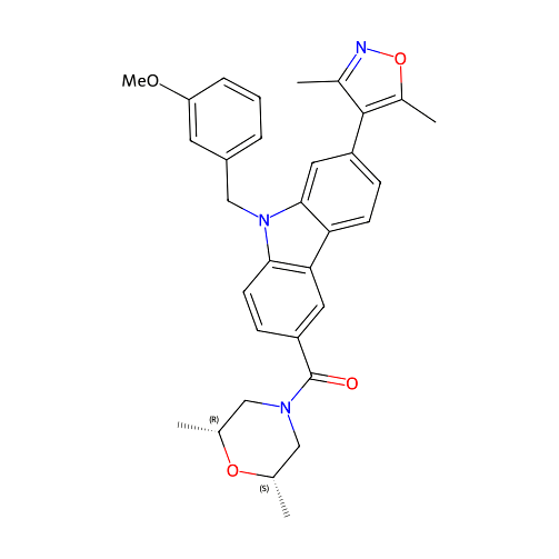 COc1cccc(Cn2c3ccc(C(=O)N4C[C@@H](C)O[C@@H](C)C4)cc3c3ccc(-c4c(C)noc4C)cc32)c1